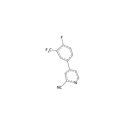 N#Cc1cc(-c2ccc(F)c(C(F)(F)F)c2)ccn1